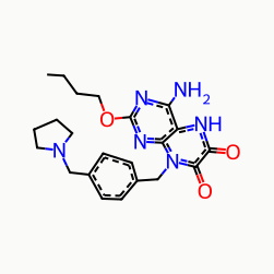 CCCCOc1nc(N)c2[nH]c(=O)c(=O)n(Cc3ccc(CN4CCCC4)cc3)c2n1